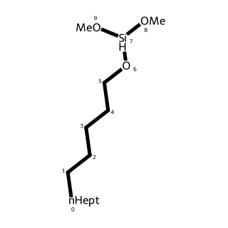 CCCCCCCCCCCCO[SiH](OC)OC